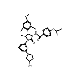 COc1cc(F)c([C@H]2[C@H](NC(=O)c3ccc(OC(F)F)cc3)C(=O)N(c3cccc(N4CC[C@@H](O)C4)n3)[C@H]2C)c(F)c1